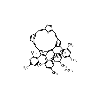 Cc1cc(C)c(C2=CC3=CC4=NC(=CC5=NC(=CC6=NC(=C(c7c(C)cc(C)cc7C)C2=N3)C(c2c(C)cc(C)cc2C)=C6c2c(C)cc(C)cc2C)C=C5)C=C4)c(C)c1.[MgH2]